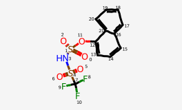 O=S(=O)(NS(=O)(=O)C(F)(F)F)Oc1cccc2ccccc12